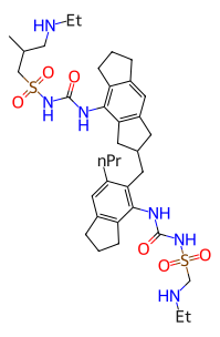 CCCc1cc2c(c(NC(=O)NS(=O)(=O)CNCC)c1CC1Cc3cc4c(c(NC(=O)NS(=O)(=O)CC(C)CNCC)c3C1)CCC4)CCC2